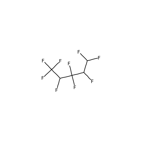 FC(F)C(F)C(F)(F)C(F)C(F)(F)F